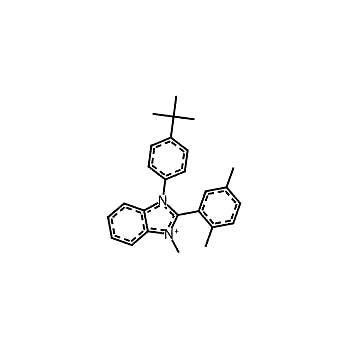 Cc1ccc(C)c(-c2n(-c3ccc(C(C)(C)C)cc3)c3ccccc3[n+]2C)c1